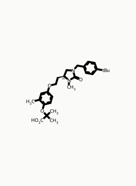 Cc1cc(OCC[C@H]2CN(Cc3ccc(C(C)(C)C)cc3)C(=O)N2C)ccc1OC(C)(C)C(=O)O